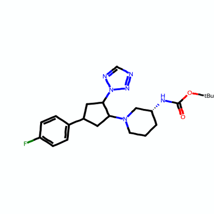 CC(C)(C)OC(=O)N[C@@H]1CCCN(C2CC(c3ccc(F)cc3)CC2n2ncnn2)C1